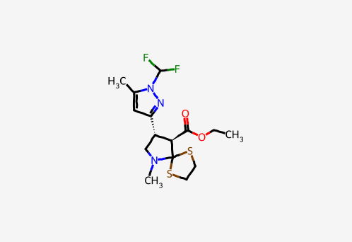 CCOC(=O)[C@@H]1[C@@H](c2cc(C)n(C(F)F)n2)CN(C)C12SCCS2